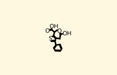 CC(C(=O)O)c1scc(-c2ccccc2)c1CC(=O)O